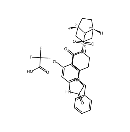 O=C(O)C(F)(F)F.O=C1Cc2cc(C(=O)N[C@H]3C[C@H]4CC[C@@H](C3)N4S(=O)(=O)N3CCC(NCc4ccccc4)CC3)c(Cl)cc2N1